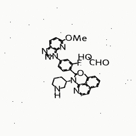 COc1ccc2nnn(-c3ccc(C(=O)N(c4nccc5cccc(C)c45)[C@@H]4CCCNC4)c(F)c3)c2n1.O=CO